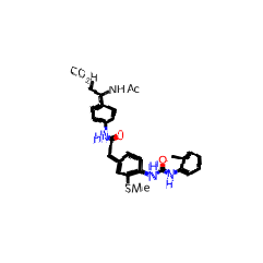 CSc1cc(CC(=O)Nc2ccc(C(CC(=O)O)NC(C)=O)cc2)ccc1NC(=O)Nc1ccccc1C